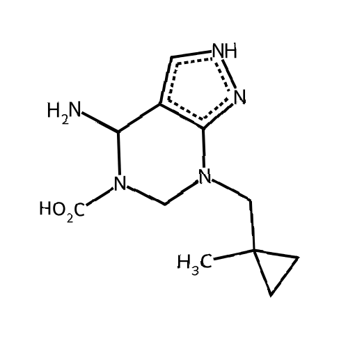 CC1(CN2CN(C(=O)O)C(N)c3c[nH]nc32)CC1